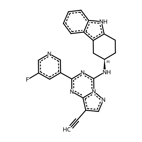 C#Cc1cnn2c(N[C@@H]3CCc4[nH]c5ccccc5c4C3)nc(-c3cncc(F)c3)nc12